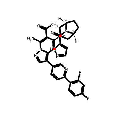 CC(=O)c1c([C@H]2C[C@H]3CC[C@@H](C2)N3C(=O)c2ccn[nH]2)nc2c(-c3ccc(-c4ccc(F)cc4F)nc3)cnn2c1N